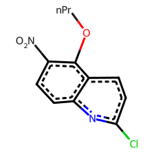 CCCOc1c([N+](=O)[O-])ccc2nc(Cl)ccc12